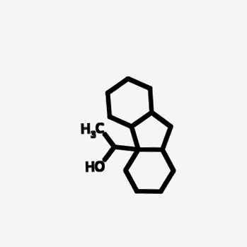 CC(O)C12CCCCC1CC1CCCCC12